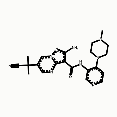 CN1CCN(c2ccncc2NC(=O)c2c(N)nn3cc(C(C)(C)C#N)cnc23)CC1